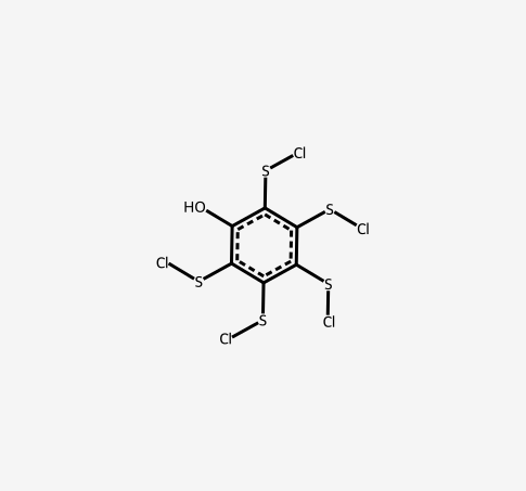 Oc1c(SCl)c(SCl)c(SCl)c(SCl)c1SCl